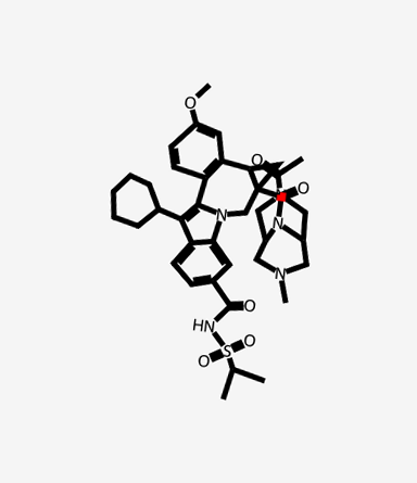 COc1ccc2c(c1)C1CC1(C(=O)N1C3CN(C)CC1CN(C(C)=O)C3)Cn1c-2c(C2CCCCC2)c2ccc(C(=O)NS(=O)(=O)C(C)C)cc21